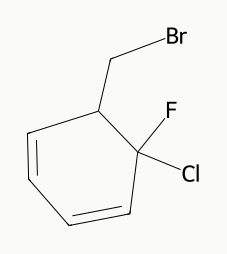 FC1(Cl)C=CC=CC1CBr